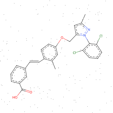 Cc1cc(COc2ccc(/C=C/c3cccc(C(=O)O)c3)c(C)c2)n(-c2c(Cl)cccc2Cl)n1